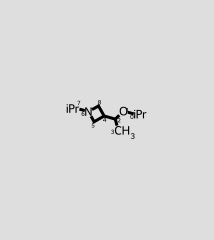 CC(C)OC(C)C1CN(C(C)C)C1